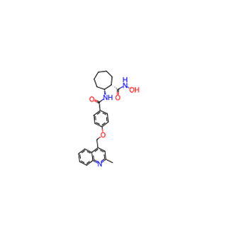 Cc1cc(COc2ccc(C(=O)N[C@H]3CCCCC[C@@H]3C(=O)NO)cc2)c2ccccc2n1